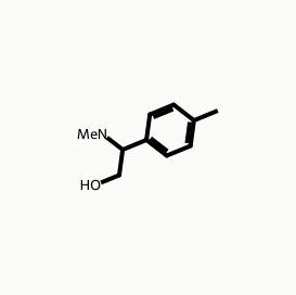 CNC(CO)c1ccc(C)cc1